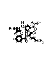 CC(C)N(C)C(=O)[C@H]1C[C@H](O)CN1C(=O)[C@@H](CCCC(F)(F)F)NC(=O)c1ccccc1OCC(=O)NC(C)(C)C